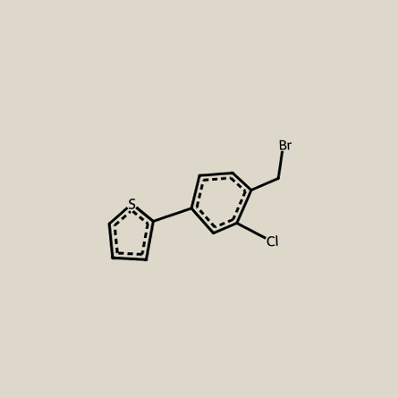 Clc1cc(-c2cccs2)ccc1CBr